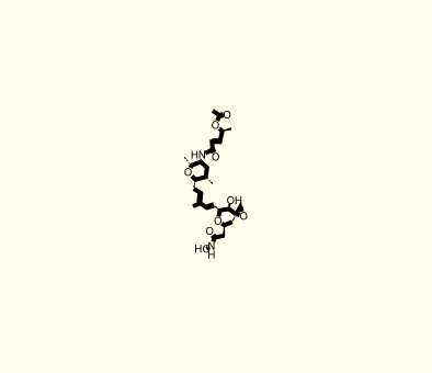 CC(=O)O[C@@H](C)C=CC(=O)N[C@@H]1C[C@H](C)[C@H](CC=C(C)C=C[C@H]2O[C@H](CC(=O)NO)C[C@@]3(CO3)[C@@H]2O)O[C@@H]1C